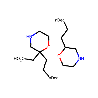 CCCCCCCCCCCCC1(CC(=O)O)CNCCO1.CCCCCCCCCCCCC1CNCCO1